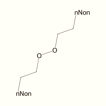 CCCCCCCCCCCOOCCCCCCCCCCC